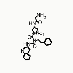 CCN1C[C@@H](NC(=O)CN)C[C@@H]1C(=O)N(CCc1ccccc1)C(=O)Nc1cnc2ccccc2c1